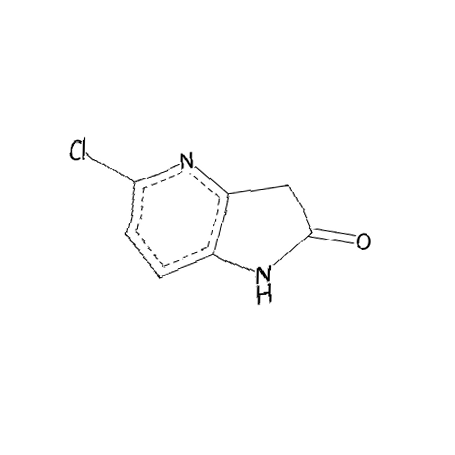 O=C1Cc2nc(Cl)ccc2N1